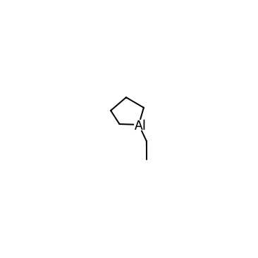 C[CH2][Al]1[CH2]CC[CH2]1